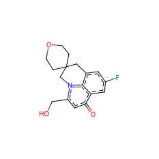 O=c1cc(CO)n2c3c(cc(F)cc13)CC1(CCOCC1)C2